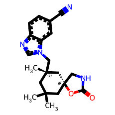 CC1(C)C[C@](C)(Cn2cnc3ccc(C#N)cc32)C[C@@]2(CNC(=O)O2)C1